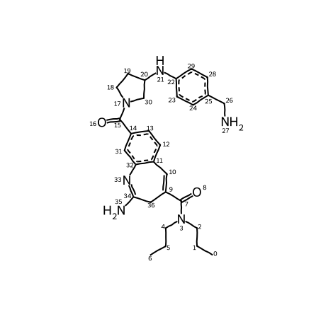 CCCN(CCC)C(=O)C1=Cc2ccc(C(=O)N3CCC(Nc4ccc(CN)cc4)C3)cc2N=C(N)C1